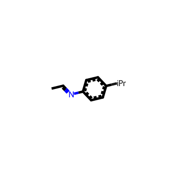 CC=Nc1ccc(C(C)C)cc1